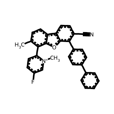 Cc1ccc2c(oc3c(-c4ccc(-c5ccccc5)cc4)c(C#N)ccc32)c1-c1ccc(F)c[n+]1C